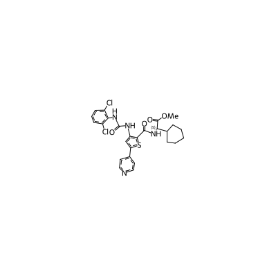 COC(=O)[C@@H](NC(=O)c1sc(-c2ccncc2)cc1NC(=O)Nc1c(Cl)cccc1Cl)C1CCCCC1